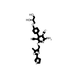 [C-]#[N+]c1c(N)nc(SCc2nc(-c3ccsc3)oc2C)c(C#N)c1-c1ccc(OC[C@@H](O)CO)cc1